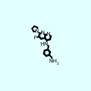 NCc1cccc(CNc2ccnc3nc(N4CCCC4)c(F)cc23)c1